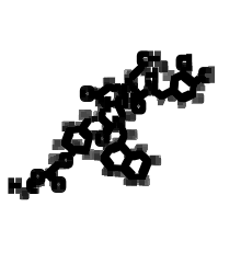 CCCN(C(=O)NCc1ccc(Cl)c(Cl)c1)N1CC(=O)N2[C@@H](Cc3ccc(OCC(=O)OC)cc3)C(=O)N(Cc3cccc4ccccc34)C[C@@H]21